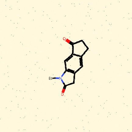 CCN1C(=O)Cc2cc3c(cc21)C(=O)CC3